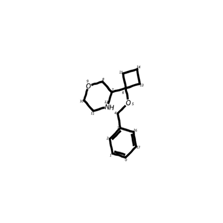 c1ccc(COC2(C3COCCN3)CCC2)cc1